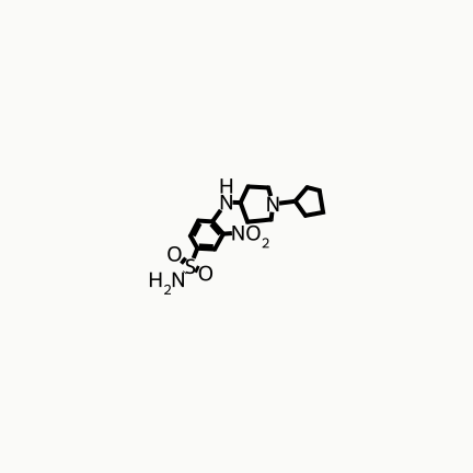 NS(=O)(=O)c1ccc(NC2CCN(C3CCCC3)CC2)c([N+](=O)[O-])c1